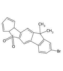 CC1(C)c2cc(Br)ccc2-c2cc3c(cc21)C1C=CC=CC1S3(=O)=O